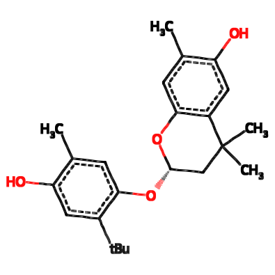 Cc1cc(O[C@H]2CC(C)(C)c3cc(O)c(C)cc3O2)c(C(C)(C)C)cc1O